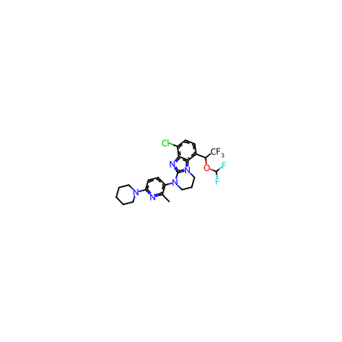 Cc1nc(N2CCCCC2)ccc1N1CCCn2c1nc1c(Cl)ccc(C(OC(F)F)C(F)(F)F)c12